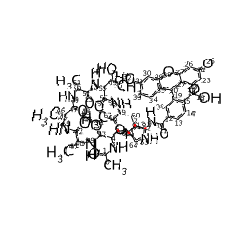 CC(=O)N[C@H](CCCCNC(=O)c1ccc(C(=O)O)c(-c2c3ccc(=O)cc-3oc3cc(O)ccc23)c1)C(=O)N[C@H](C)C(=O)N[C@H](C)C(=O)N[C@H](C)C(=O)N[C@@H](C(=O)N[C@H](Cc1c[nH]cn1)C(C)=O)[C@H](C)O